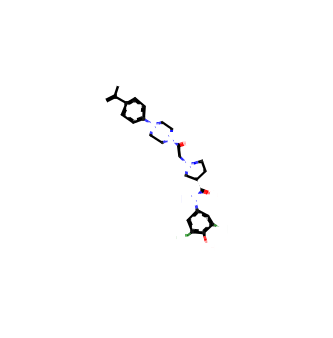 C=C(C)c1ccc(N2CCN(C(=O)CN3CC[C@@H](C(=O)Nc4cc(Cl)c(O)c(Cl)c4)C3)CC2)cc1